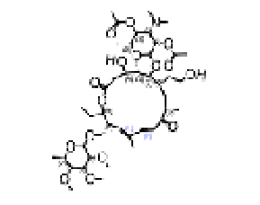 CC[C@H]1OC(=O)C[C@@H](O)[C@H](C)[C@@H](OC2O[C@H](C)[C@@H](OC(C)=O)[C@H](N(C)C)[C@H]2OC(C)=O)[C@@H](CCO)C[C@@H](C)C(=O)/C=C/C(C)=C/[C@@H]1COC1O[C@H](C)[C@@H](OC)[C@@H](OC)[C@H]1OC